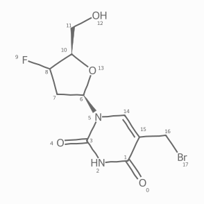 O=c1[nH]c(=O)n([C@H]2CC(F)[C@@H](CO)O2)cc1CBr